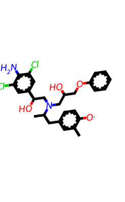 Cc1cc(CC(C)N(CC(O)COc2ccccc2)CC(O)c2cc(Cl)c(N)c(Cl)c2)ccc1[O]